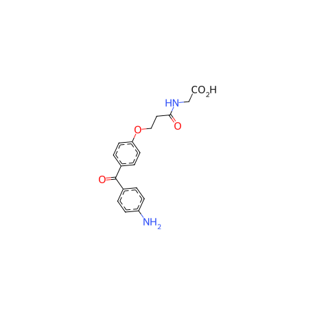 Nc1ccc(C(=O)c2ccc(OCCC(=O)NCC(=O)O)cc2)cc1